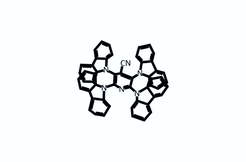 N#Cc1c(-n2c3ccccc3c3ccccc32)c(-n2c3ccccc3c3ccccc32)nc(-n2c3ccccc3c3ccccc32)c1-n1c2ccccc2c2ccccc21